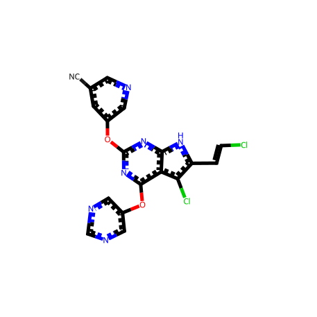 N#Cc1cncc(Oc2nc(Oc3cncnc3)c3c(Cl)c(/C=C/Cl)[nH]c3n2)c1